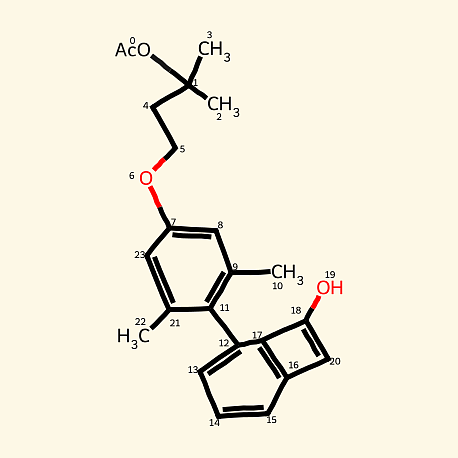 CC(=O)OC(C)(C)CCOc1cc(C)c(-c2cccc3c2C(O)=C3)c(C)c1